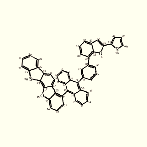 c1cc(-c2c3ccccc3c(-c3cccc4oc5c(ccc6c7ccccc7sc65)c34)c3ccccc23)cc(-c2cccc3cc(-c4cccs4)oc23)c1